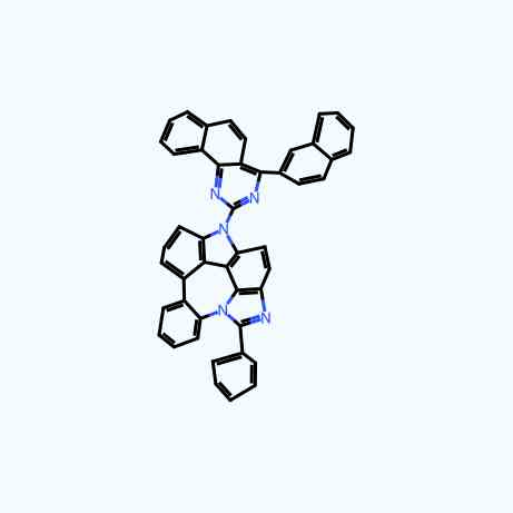 c1ccc(-c2nc3ccc4c5c6c(cccc6n4-c4nc(-c6ccc7ccccc7c6)c6ccc7ccccc7c6n4)c4ccccc4n2c35)cc1